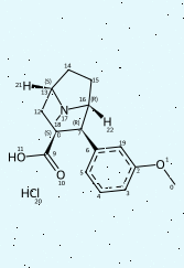 COc1cccc([C@H]2[C@@H](C(=O)O)C[C@@H]3CC[C@H]2N3C)c1.Cl